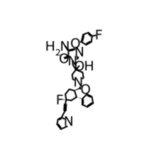 Nc1c(Oc2ccc(F)cc2)ncn(CC2(O)CCN(C(=O)[C@@H]3CC[C@](F)(C#Cc4ccccn4)C[C@H]3c3ccccc3)CC2)c1=O